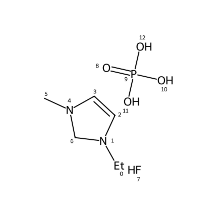 CCN1C=CN(C)C1.F.O=P(O)(O)O